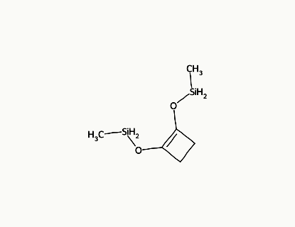 C[SiH2]OC1=C(O[SiH2]C)CC1